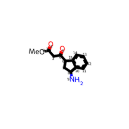 COC(=O)CC(=O)C1CC(N)c2ccccc21